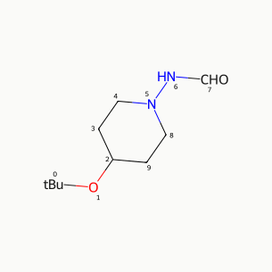 CC(C)(C)OC1CCN(NC=O)CC1